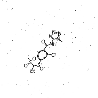 CCC([S+]([O-])c1ccc(C(=O)Nc2nnnn2C)c(Cl)c1)S(C)(=O)=O